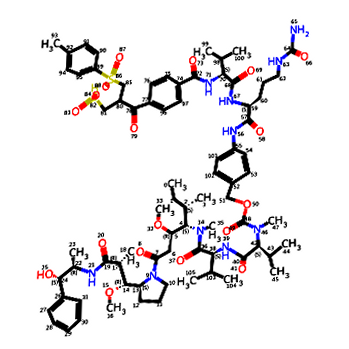 CC[C@H](C)[C@@H]([C@@H](CC(=O)N1CCC[C@H]1[C@H](OC)[C@@H](C)C(=O)N[C@H](C)[C@@H](O)c1ccccc1)OC)N(C)C(=O)[C@@H](NC(=O)[C@H](C(C)C)N(C)C(=O)OCc1ccc(NC(=O)[C@H](CCCNC(N)=O)NC(=O)[C@@H](NC(=O)c2ccc(C(=O)C(C[SH](=O)=O)CS(=O)(=O)c3ccc(C)cc3)cc2)C(C)C)cc1)C(C)C